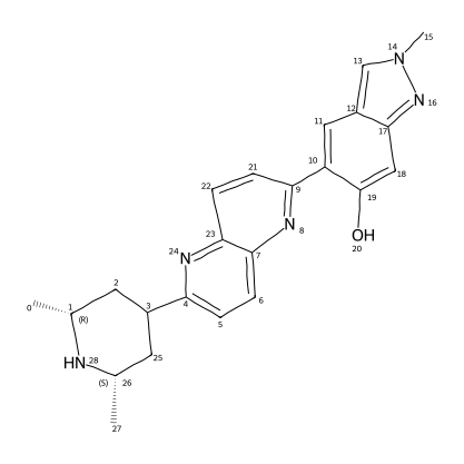 C[C@@H]1CC(c2ccc3nc(-c4cc5cn(C)nc5cc4O)ccc3n2)C[C@H](C)N1